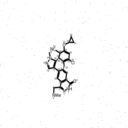 CNCc1n[nH]c(=O)c2ccc(-c3cnn(C)c3[C@@H]3C(F)=C(Cl)C=C(OC4CC4)C3C#N)cc12